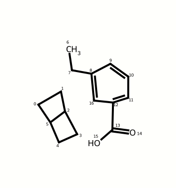 C1CC2CCC12.CCc1cccc(C(=O)O)c1